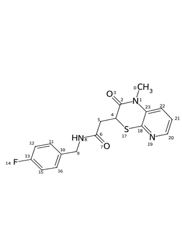 CN1C(=O)C(CC(=O)NCc2ccc(F)cc2)Sc2ncccc21